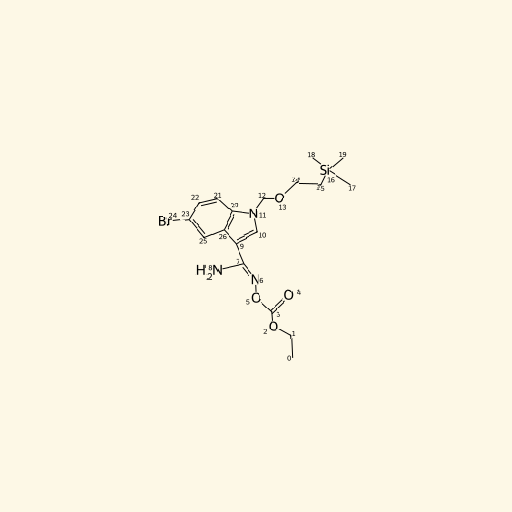 CCOC(=O)O/N=C(\N)c1cn(COCC[Si](C)(C)C)c2ccc(Br)cc12